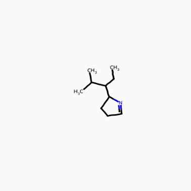 CCC(C(C)C)C1CCC=N1